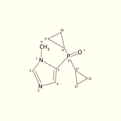 Cn1cncc1P(=O)(C1CC1)C1CC1